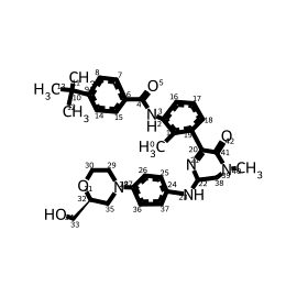 Cc1c(NC(=O)c2ccc(C(C)(C)C)cc2)cccc1C1=NC(Nc2ccc(N3CCO[C@H](CO)C3)cc2)CN(C)C1=O